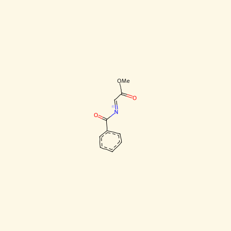 COC(=O)/C=N/C(=O)c1ccccc1